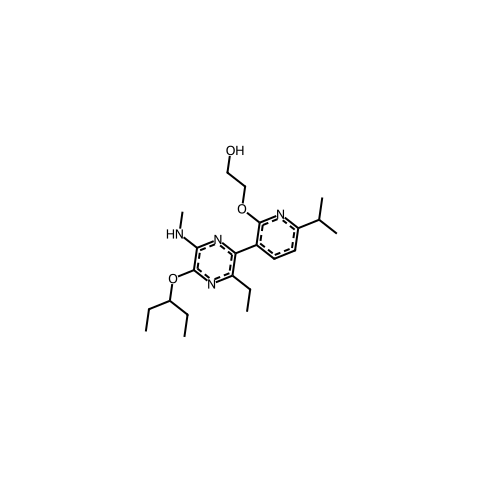 CCc1nc(OC(CC)CC)c(NC)nc1-c1ccc(C(C)C)nc1OCCO